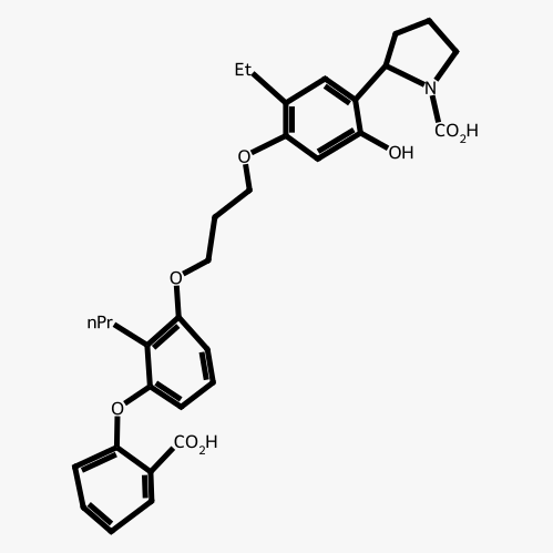 CCCc1c(OCCCOc2cc(O)c(C3CCCN3C(=O)O)cc2CC)cccc1Oc1ccccc1C(=O)O